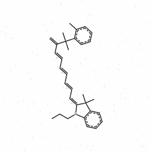 C=C(/C=C/C=C/C=C/C=C1/N(CCC)c2ccccc2C1(C)C)C(C)(C)c1ccccc1C